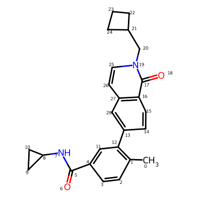 Cc1ccc(C(=O)NC2CC2)cc1-c1ccc2c(=O)n(CC3CCC3)ccc2c1